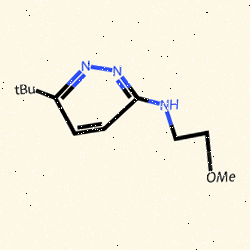 COCCNc1ccc(C(C)(C)C)nn1